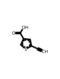 C#Cc1cc(C(=O)O)cs1